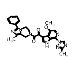 COc1cnc(-n2cnc(C)n2)c2[nH]cc(C(=O)C(=O)N3CCn4c(-c5ccccc5)nc(C)c4C3)c12